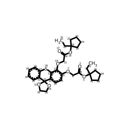 CCC1(OC(=O)COc2ccc3c(c2OCC(=O)OC2(CC)CCCC2)Sc2ccccc2C32OCCO2)CCCC1